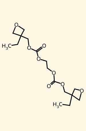 CCC1(COC(=O)OCCOC(=O)OCC2(CC)COC2)COC1